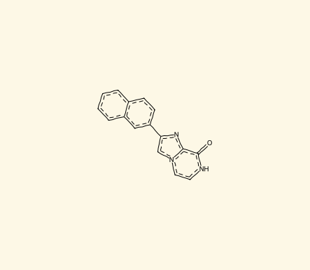 O=c1[nH]ccn2cc(-c3ccc4ccccc4c3)nc12